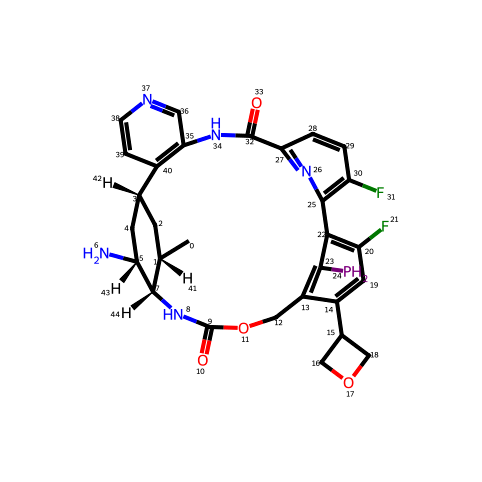 C[C@H]1C[C@@H]2C[C@@H](N)[C@H]1NC(=O)OCc1c(C3COC3)cc(F)c(c1P)-c1nc(ccc1F)C(=O)Nc1cnccc12